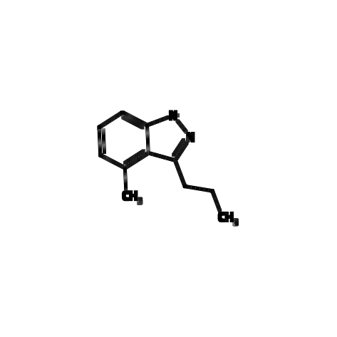 CCCC1=N[N]c2cccc(C)c21